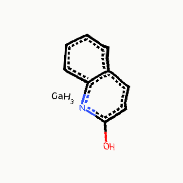 Oc1ccc2ccccc2n1.[GaH3]